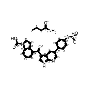 CCCC(N)=O.O=C(c1c[nH]c2ncc(-c3ccc(N[SH](=O)=O)cc3)cc12)c1cccc2c1ccn2C(=O)O